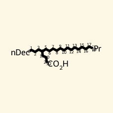 CCCCCCCCCCCCCC(CCCCCCCCCCCCCC(C)C)CCCC(=O)O